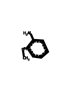 CCCC.[AlH2][c]1ccccc1